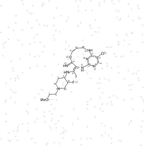 COCCN1CCC(N/C(C)=C2/Nc3ncc(Cl)c(n3)NCCCOC2=N)C(F)C1